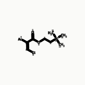 CCC=C(C(C)=O)C(=O)OCC[N+](C)(C)C